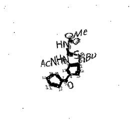 CCCCc1ccc(C(=O)c2ccccc2)cc1N(NC(C)=O)C(=S)NC(=O)OC